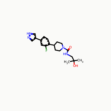 CC(C)(O)CNC(=O)N1CCC(c2ccc(-c3cn[nH]c3)cc2F)CC1